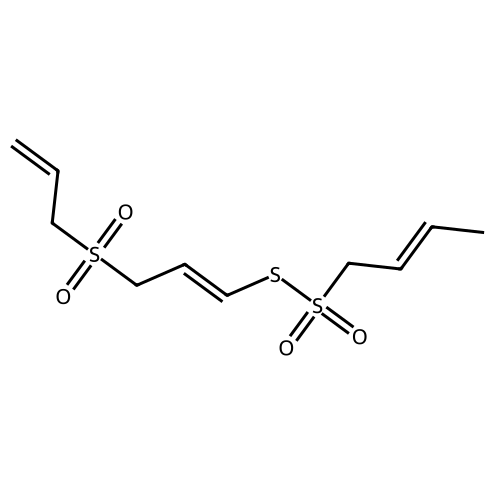 C=CCS(=O)(=O)CC=CSS(=O)(=O)CC=CC